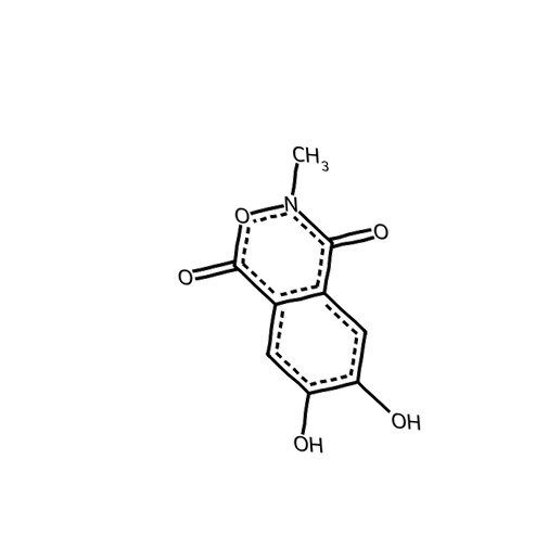 Cn1oc(=O)c2cc(O)c(O)cc2c1=O